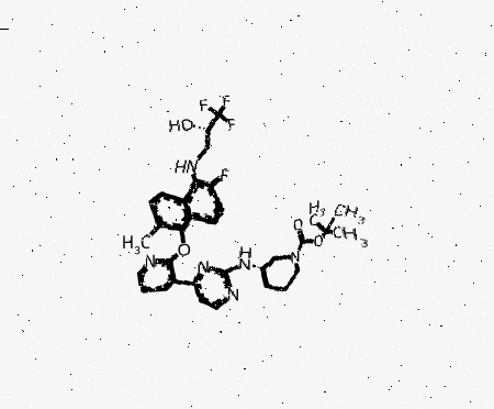 Cc1ccc2c(NC[C@H](O)C(F)(F)F)c(F)ccc2c1Oc1ncccc1-c1ccnc(N[C@H]2CCCN(C(=O)OC(C)(C)C)C2)n1